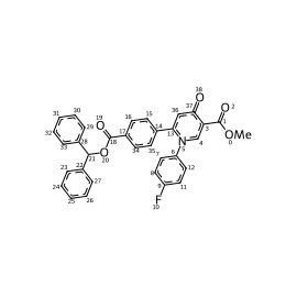 COC(=O)c1cn(-c2ccc(F)cc2)c(-c2ccc(C(=O)OC(c3ccccc3)c3ccccc3)cc2)cc1=O